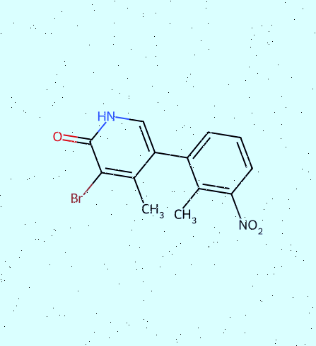 Cc1c(-c2c[nH]c(=O)c(Br)c2C)cccc1[N+](=O)[O-]